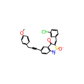 COc1ccc(CC#Cc2ccc3c(c2)C(=O)/C(=C\c2cccc(Cl)c2)[S+]([O-])N3C)cc1